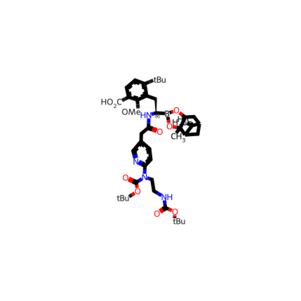 COc1c(C(=O)O)ccc(C(C)(C)C)c1C[C@H](NC(=O)Cc1ccc(N(CCNC(=O)OC(C)(C)C)C(=O)OC(C)(C)C)nc1)B1OC2CC3CC(C3(C)C)C2(C)O1